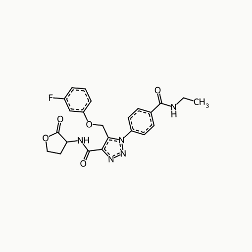 CCNC(=O)c1ccc(-n2nnc(C(=O)NC3CCOC3=O)c2COc2cccc(F)c2)cc1